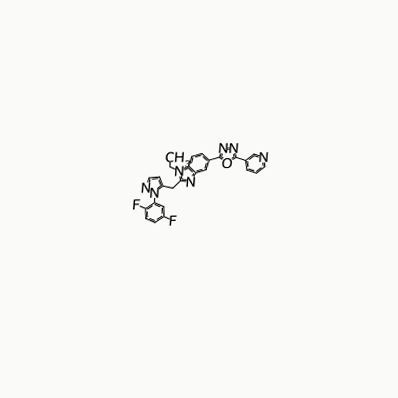 CCn1c(Cc2ccnn2-c2cc(F)ccc2F)nc2cc(-c3nnc(-c4cccnc4)o3)ccc21